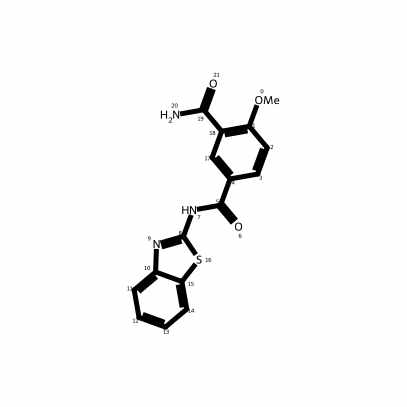 COc1ccc(C(=O)Nc2nc3ccccc3s2)cc1C(N)=O